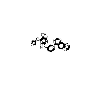 FC(F)(F)c1cnc(N[C@@H]2CCCN(c3ncnc4c3CCC3(C4)OCCO3)C2)nc1OC1COC1